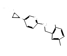 O=C(O)[C@H]1C[C@@H]1c1ccc(NCc2cc(I)ccc2F)nc1